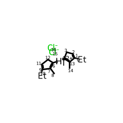 CCC1=CC[C]([Hf+2][C]2=C(C)C(CC)=CC2)=C1C.[Cl-].[Cl-]